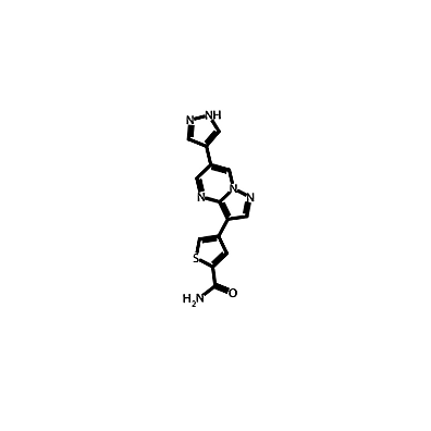 NC(=O)c1cc(-c2cnn3cc(-c4cn[nH]c4)cnc23)cs1